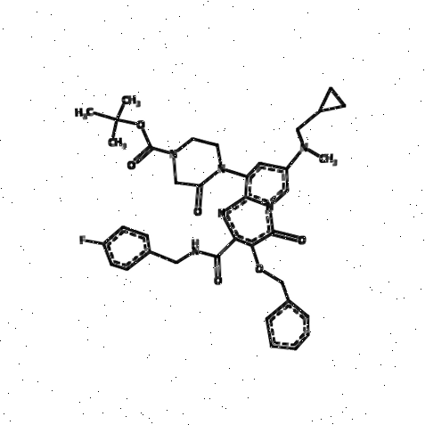 CN(CC1CC1)c1cc(N2CCN(C(=O)OC(C)(C)C)CC2=O)c2nc(C(=O)NCc3ccc(F)cc3)c(OCc3ccccc3)c(=O)n2c1